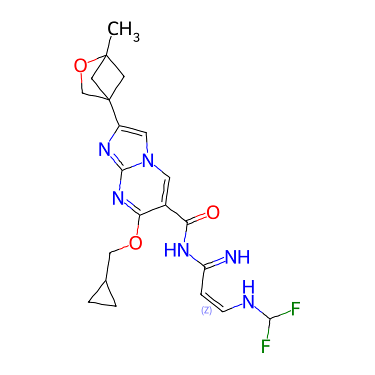 CC12CC(c3cn4cc(C(=O)NC(=N)/C=C\NC(F)F)c(OCC5CC5)nc4n3)(CO1)C2